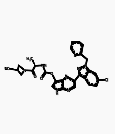 C[C@@H](NC(=O)Oc1c[nH]c2ncc(-c3nn(Cc4ccccn4)c4cc(Cl)ccc34)nc12)C(=O)N1CC(C#N)C1